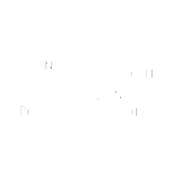 CC(C)(C)N(C(=O)O)c1ccc(Br)c2[nH]ccc12